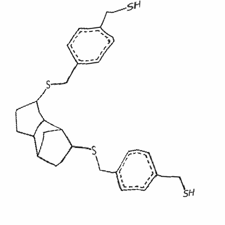 SCc1ccc(CSC2CC3CC2C2C(SCc4ccc(CS)cc4)CCC32)cc1